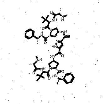 C=C(N[C@H]1C[C@@H](C(=O)N[C@H](C)c2ccccc2)N(C(=O)[C@@H](NC(=O)[C@H](C)NC)C(C)(C)C)C1)c1cc(C(=O)N[C@H]2C[C@@H](C(=O)N[C@H](C)c3ccccc3)N(C(=O)[C@@H](NC(=O)[C@H](C)NC)C(C)(C)C)C2)[nH]n1